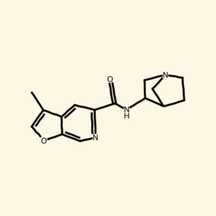 Cc1coc2cnc(C(=O)NC3CN4CCC3C4)cc12